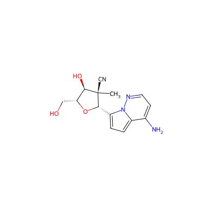 C[C@@]1(C#N)[C@H](O)[C@@H](CO)O[C@H]1c1ccc2c(N)ccnn12